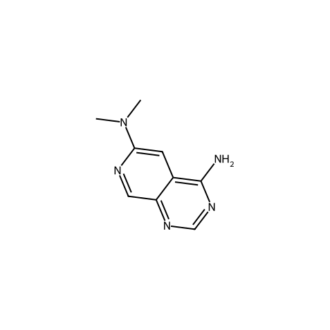 CN(C)c1cc2c(N)ncnc2cn1